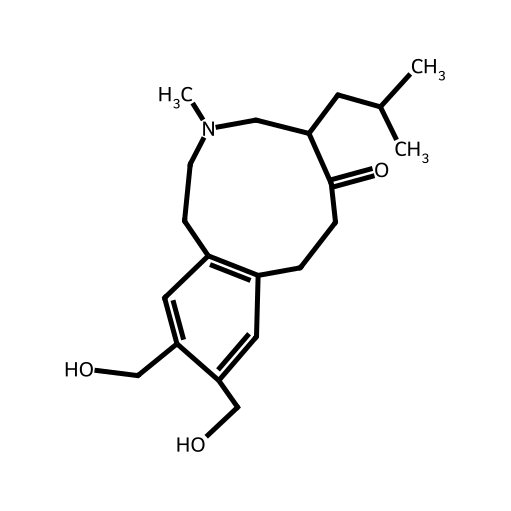 CC(C)CC1CN(C)CCc2cc(CO)c(CO)cc2CCC1=O